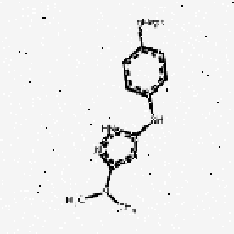 CCCCCCCc1ccc(Nc2cc(N(C)C)n[nH]2)cc1